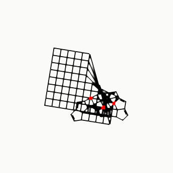 C1=CC2C3C4C5C6C7C8C9C%10C%11CC%12C%13C%14C%15C%16C%17C%18CC%19C%20C%21C%22C%23C%24C%25C%26C%27C%28CC=C%29C=C%30C=C%31C=C%32C%33C%34C=C1C21C%342C%33%34C%32%33C%31%32C%30%31C%29%28C%27%28C%26%27C%25%26C%24%25C%23%24C%22%23C%21%22C%20%21C%18%19C%17%18C%16%17C%15%16C%14%15C%13%14C%12%11C%10%11C9%10C89C78C67C56C45C31C21C%342C%333C%324C%31%28C%27%12C%26%13C%25%19C%24%20C%23%24C%22%23C%18%21C%17%18C%16%17C%15%16C%14%11C%10%11C9%10C89C78C67C51C21C32C4%12C%133C%194C%205C%246C%18%23C%17%12C%16%11C%10%11C9%10C89C71C23C49C5%10C%126%11